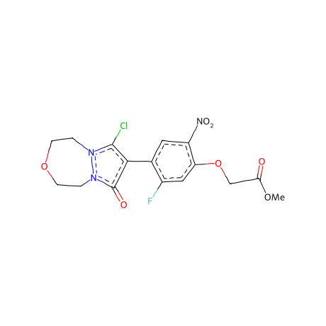 COC(=O)COc1cc(F)c(-c2c(Cl)n3n(c2=O)CCOCC3)cc1[N+](=O)[O-]